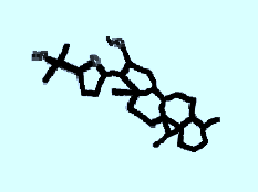 CC1CCCC23C1CCC1C4CC(O)C(C5CCC(C(C)(C)O)O5)C4(C)CCC12[C@@H]3C